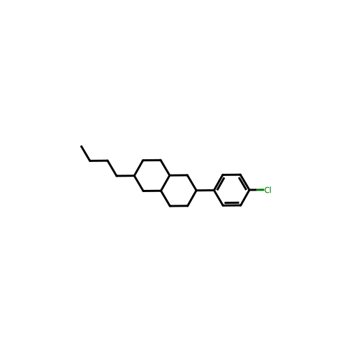 CCCCC1CCC2CC(c3ccc(Cl)cc3)CCC2C1